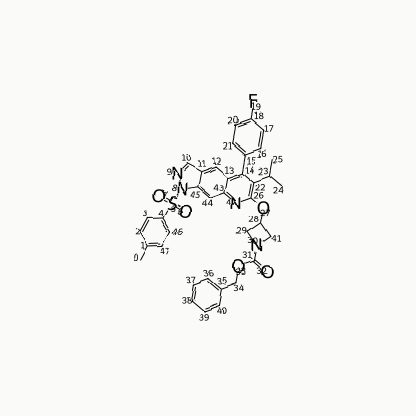 Cc1ccc(S(=O)(=O)n2ncc3cc4c(-c5ccc(F)cc5)c(C(C)C)c(OC5CN(C(=O)OCc6ccccc6)C5)nc4cc32)cc1